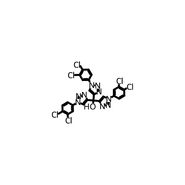 OC(c1cn(-c2ccc(Cl)c(Cl)c2)nn1)(c1cn(-c2ccc(Cl)c(Cl)c2)nn1)c1cn(-c2ccc(Cl)c(Cl)c2)nn1